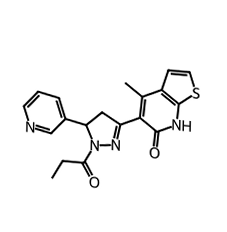 CCC(=O)N1N=C(c2c(C)c3ccsc3[nH]c2=O)CC1c1cccnc1